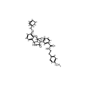 Cc1ccc(CCNC(=O)c2cccc(N3C(=O)NC4CC3(C)Oc3c(OCC56CCC(CC5)C6)cccc34)c2)cc1